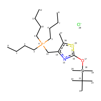 CCCC[P+](CCCC)(CCCC)Cc1nc(O[Si](C)(C)C(C)(C)C)sc1C.[Cl-]